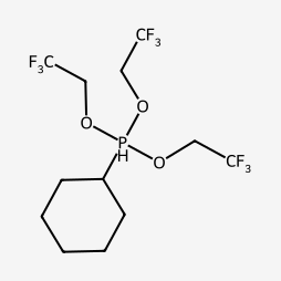 FC(F)(F)CO[PH](OCC(F)(F)F)(OCC(F)(F)F)C1CCCCC1